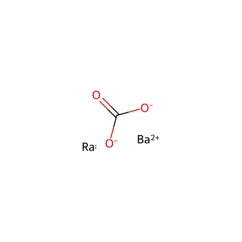 O=C([O-])[O-].[Ba+2].[Ra]